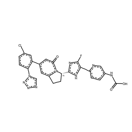 O=C(O)Nc1ccc(-c2[nH]c([C@@H]3CCc4cc(-c5cc(Cl)ccc5-n5cnnn5)cc(=O)n43)nc2F)nc1